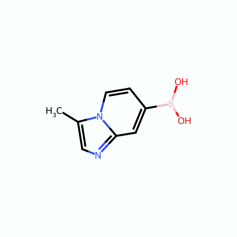 Cc1cnc2cc(B(O)O)ccn12